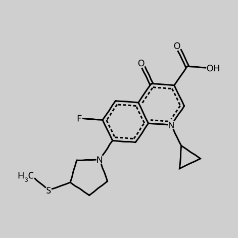 CSC1CCN(c2cc3c(cc2F)c(=O)c(C(=O)O)cn3C2CC2)C1